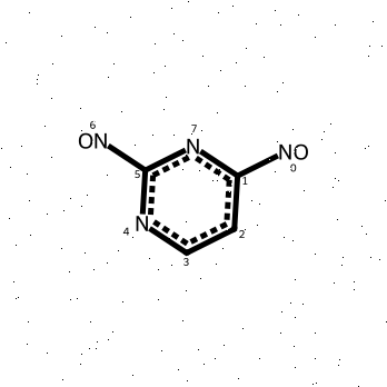 O=Nc1ccnc(N=O)n1